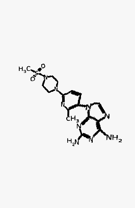 Cc1nc(N2CCN(S(C)(=O)=O)CC2)ccc1-n1cnc2c(N)nc(N)nc21